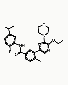 CCOc1ncc(-c2cc(C(=O)Nc3cc(C(C)C)ccc3F)ccc2C)cc1N1CCOCC1